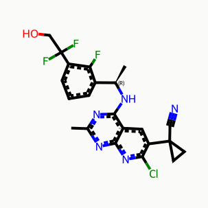 Cc1nc(N[C@H](C)c2cccc(C(F)(F)CO)c2F)c2cc(C3(C#N)CC3)c(Cl)nc2n1